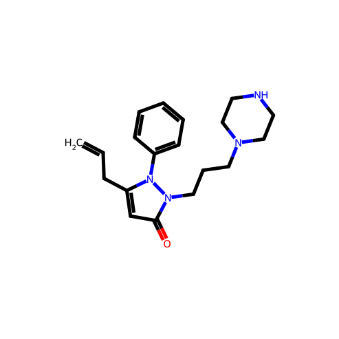 C=CCc1cc(=O)n(CCCN2CCNCC2)n1-c1ccccc1